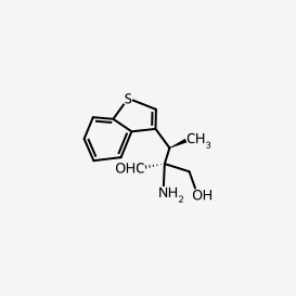 C[C@H](c1csc2ccccc12)[C@@](N)(C=O)CO